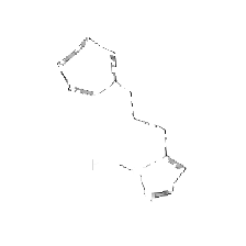 Cn1nccc1CCCc1ccccc1